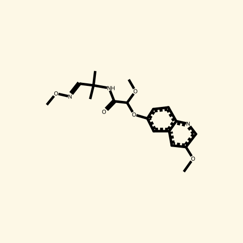 CON=CC(C)(C)NC(=O)C(OC)Oc1ccc2ncc(OC)cc2c1